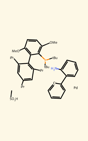 COc1ccc(OC)c(P(C(C)(C)C)C(C)(C)C)c1-c1c(C(C)C)cc(C(C)C)cc1C(C)C.CS(=O)(=O)O.Nc1ccccc1-c1[c-]cccc1.[Pd]